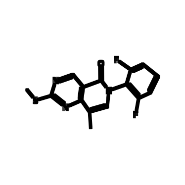 CSc1ncc2c(=O)n(-c3c(F)cccc3F)cc(C)c2n1